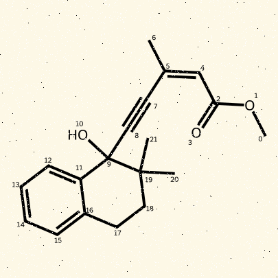 COC(=O)C=C(C)C#CC1(O)c2ccccc2CCC1(C)C